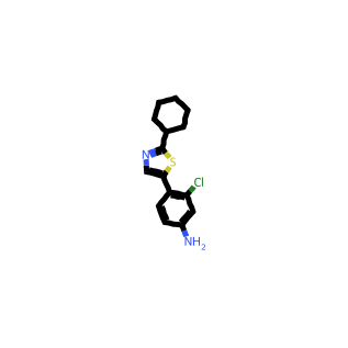 Nc1ccc(-c2cnc(C3CCCCC3)s2)c(Cl)c1